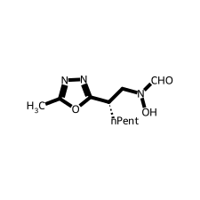 CCCCC[C@@H](CN(O)C=O)c1nnc(C)o1